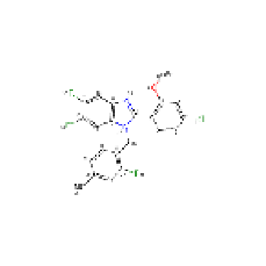 CCCOc1cc(Cl)ccc1-c1nc2cc(F)c(F)cc2n1Cc1ccc(C#N)cc1F